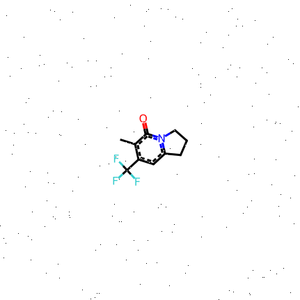 Cc1c(C(F)(F)F)cc2n(c1=O)CCC2